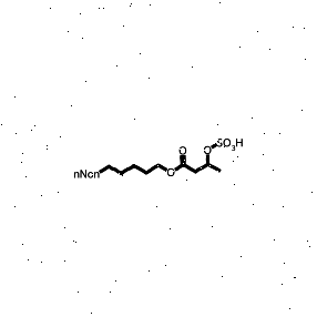 CCCCCCCCCCCCCCOC(=O)CC(C)OS(=O)(=O)O